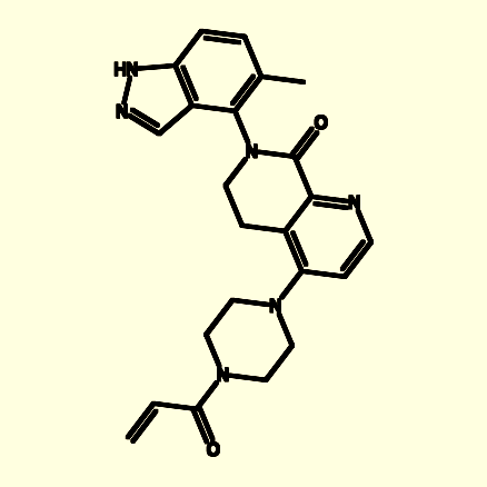 C=CC(=O)N1CCN(c2ccnc3c2CCN(c2c(C)ccc4[nH]ncc24)C3=O)CC1